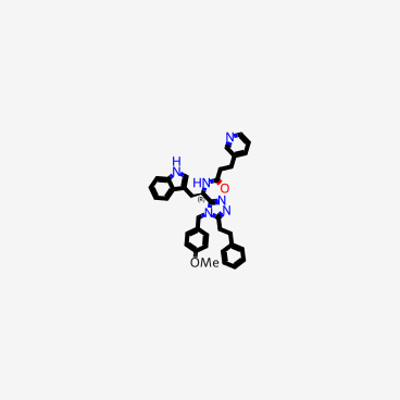 COc1ccc(Cn2c(CCc3ccccc3)nnc2[C@@H](Cc2c[nH]c3ccccc23)NC(=O)CCc2cccnc2)cc1